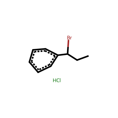 CCC(Br)c1ccccc1.Cl